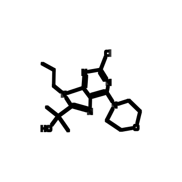 CCCn1c(C(C)(C)O)nc2c(N3CCOCC3)nc(Cl)nc21